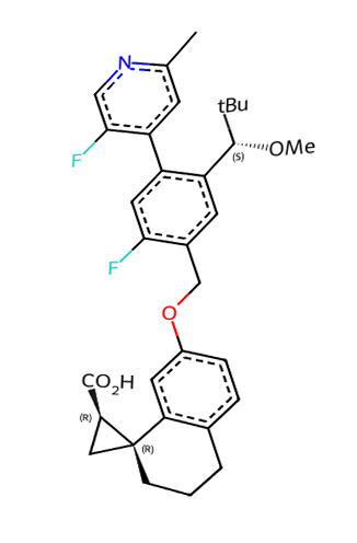 CO[C@H](c1cc(COc2ccc3c(c2)[C@]2(CCC3)C[C@H]2C(=O)O)c(F)cc1-c1cc(C)ncc1F)C(C)(C)C